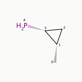 C[C@H]1C[C@H]1P